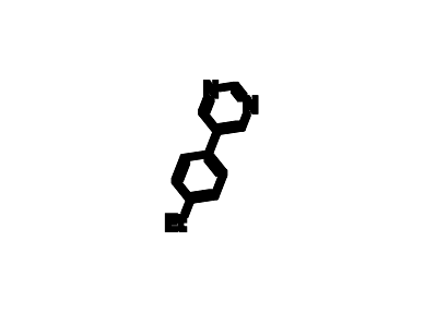 CCc1ccc(-c2cncnc2)cc1